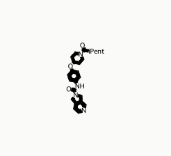 CCCC(C)C(=O)N1CCC(Oc2ccc(NC(=O)N3Cc4ccncc4C3)cc2)CC1